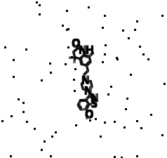 COc1cccc2c(N3CCN(CCc4cc(C)c5c(c4)C(C)(C)CC(=O)N5)CC3)nsc12